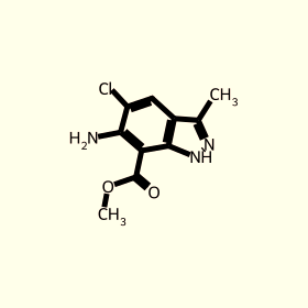 COC(=O)c1c(N)c(Cl)cc2c(C)n[nH]c12